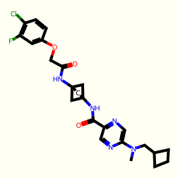 CN(CC1CCC1)c1cnc(C(=O)NC23CC(NC(=O)COc4ccc(Cl)c(F)c4)(C2)C3)cn1